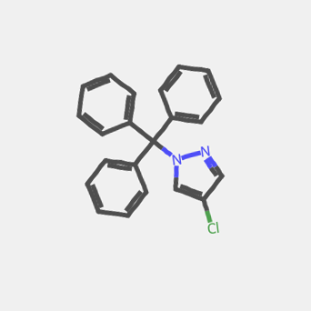 Clc1cnn(C(c2ccccc2)(c2ccccc2)c2ccccc2)c1